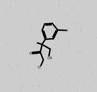 CC(CC#N)(C(=O)CCl)c1cccc(I)c1